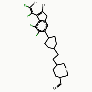 C=CC1CCCC(CCC2CCC(c3cc4c(c(F)c3F)C(/C(F)=C(/F)CC)=C(CC)C4)CC2)CC1